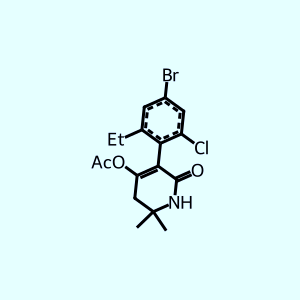 CCc1cc(Br)cc(Cl)c1C1=C(OC(C)=O)CC(C)(C)NC1=O